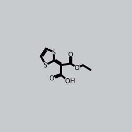 CCOC(=O)C(C(=O)O)=C1SC=CS1